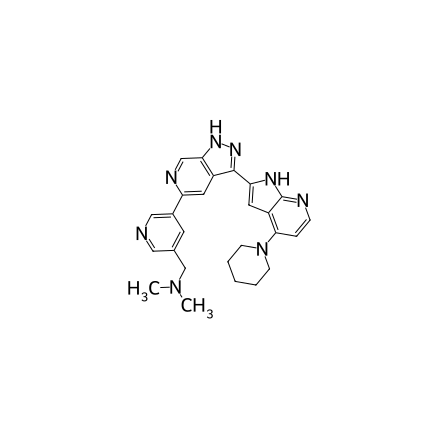 CN(C)Cc1cncc(-c2cc3c(-c4cc5c(N6CCCCC6)ccnc5[nH]4)n[nH]c3cn2)c1